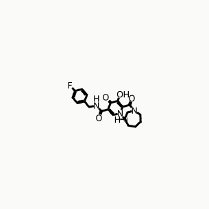 O=C(NCc1ccc(F)cc1)c1cn2c(c(O)c1=O)C(=O)N1CCCC[C@H]2C1